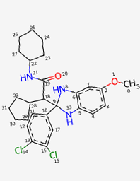 COc1ccc2c(c1)NC(c1ccc(Cl)c(Cl)c1)(C(C(=O)NC1CCCCC1)C1CCCC1)N2